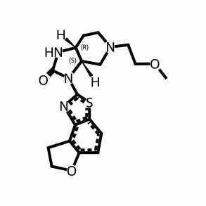 COCCN1CC[C@H]2NC(=O)N(c3nc4c5c(ccc4s3)OCC5)[C@H]2C1